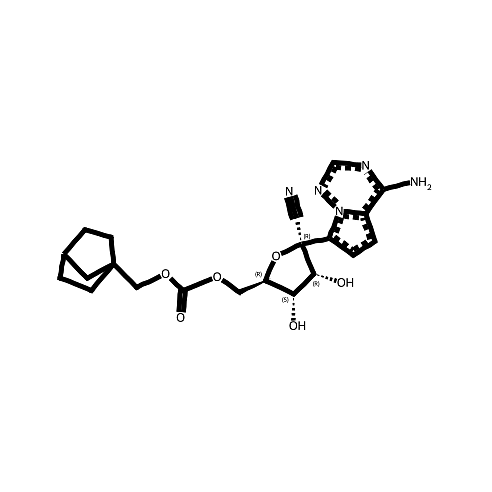 N#C[C@@]1(c2ccc3c(N)ncnn23)O[C@H](COC(=O)OCC23CCC(CC2)C3)[C@@H](O)[C@H]1O